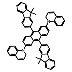 CC1(C)c2ccccc2-c2ccc(-c3c4ccc(N5CC=Cc6ccccc65)cc4c(-c4ccc5c(c4)C(C)(C)c4ccccc4-5)c4ccc(N5CC=Cc6ccccc65)cc34)cc21